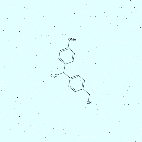 COc1ccc(C(c2ccc(CO)cc2)C(Cl)(Cl)Cl)cc1